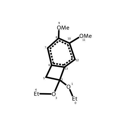 CCOC1(OCC)Cc2cc(OC)c(OC)cc21